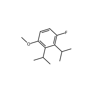 COc1ccc(F)c(C(C)C)c1C(C)C